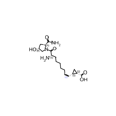 NC(=O)[C@@H]1C[C@@H](O)CN1C(=O)[C@@H](N)CCCCC/C=C\[C@@H]1C[C@@H]1C(=O)O